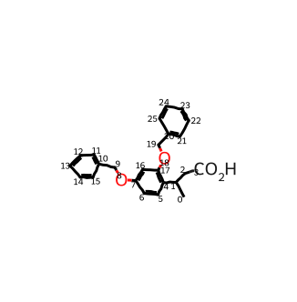 CC(CC(=O)O)c1ccc(OCc2ccccc2)cc1OCc1ccccc1